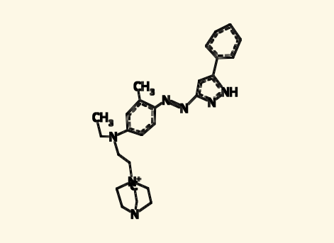 CCN(CC[N+]12CCN(CC1)CC2)c1ccc(N=Nc2cc(-c3ccccc3)[nH]n2)c(C)c1